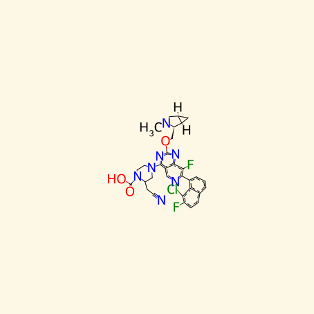 CN1C[C@H]2C[C@H]2[C@H]1COc1nc(N2CCN(C(=O)O)C(CC#N)C2)c2cnc(-c3cccc4ccc(F)c(Cl)c34)c(F)c2n1